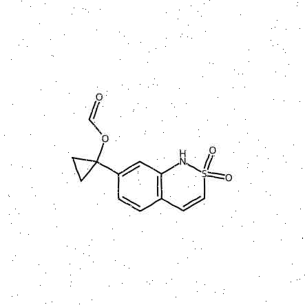 O=COC1(c2ccc3c(c2)NS(=O)(=O)C=C3)CC1